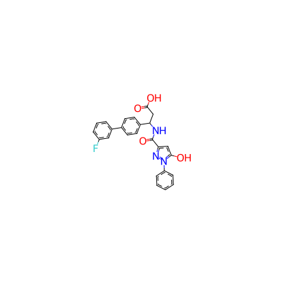 O=C(O)CC(NC(=O)c1cc(O)n(-c2ccccc2)n1)c1ccc(-c2cccc(F)c2)cc1